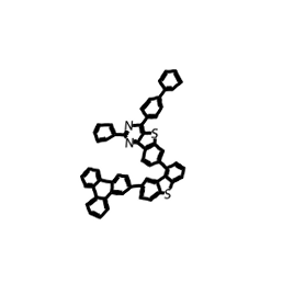 c1ccc(-c2ccc(-c3nc(-c4ccccc4)nc4c3sc3cc(-c5cccc6sc7ccc(-c8ccc9c%10ccccc%10c%10ccccc%10c9c8)cc7c56)ccc34)cc2)cc1